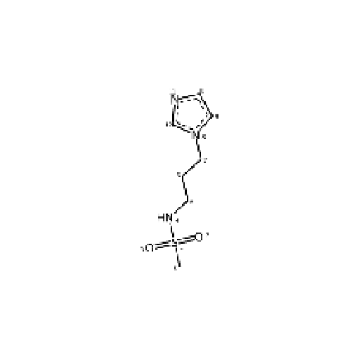 CS(=O)(=O)NCCCn1ccnc1